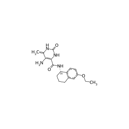 C=C1NC(=O)NC(C(=O)N[C@H]2CCCc3cc(OCC)ccc32)=C1N